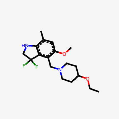 CCOC1CCN(Cc2c(OC)cc(C)c3c2C(F)(F)CN3)CC1